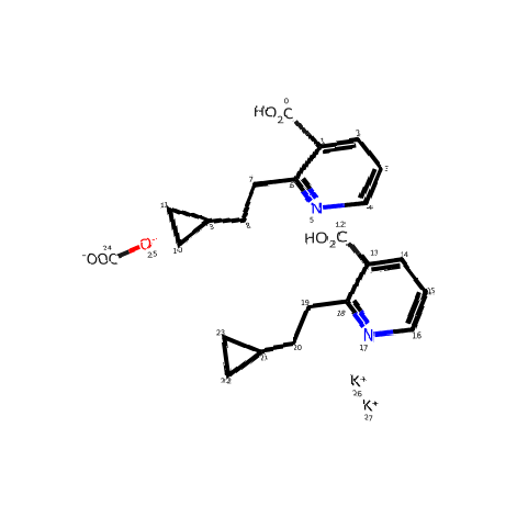 O=C(O)c1cccnc1CCC1CC1.O=C(O)c1cccnc1CCC1CC1.O=C([O-])[O-].[K+].[K+]